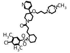 Cc1cc(S(=O)(=O)N2CCCCC2CCC(=O)N2CCC(OCCCN3CCN(C)CC3)(c3cccnc3)CC2)c(C)cc1Cl